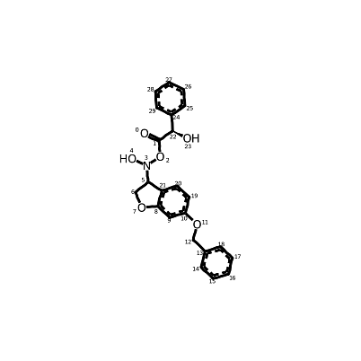 O=C(ON(O)C1COc2cc(OCc3ccccc3)ccc21)[C@H](O)c1ccccc1